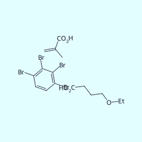 Brc1ccc(Br)c(Br)c1Br.C=C(C)C(=O)O.CCOCCCC(=O)O